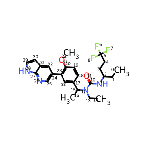 CCC(CCC(F)(F)F)NC(=O)N(CC)C(C)c1ccc(OC)c(-c2cnc3[nH]ccc3c2)c1